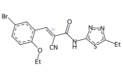 CCOc1ccc(Br)cc1/C=C(\C#N)C(=O)Nc1nnc(CC)s1